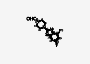 O=CN1CCN(c2nc3c(F)cc(F)cc3s2)CC1